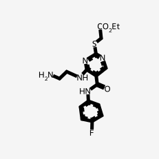 CCOC(=O)CSc1ncc(C(=O)Nc2ccc(F)cc2)c(NCCN)n1